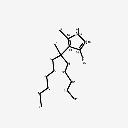 CCCCCCC(C)(CCCCC)c1c(F)n[nH]c1C